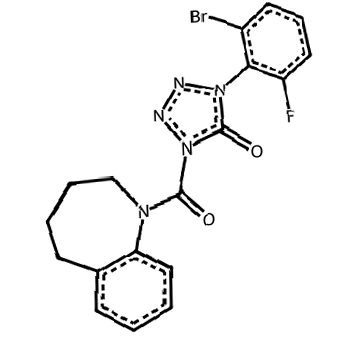 O=C(N1CCCCc2ccccc21)n1nnn(-c2c(F)cccc2Br)c1=O